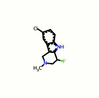 CN1Cc2c([nH]c3ccc(Cl)cc23)C(F)C1